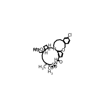 CO[C@]1(CO)CCC[C@H](C)[C@@H](C)S(=O)(=O)NC(=O)c2ccc3c(c2)N(CCCCc2cc(Cl)ccc2CO3)C[C@@H]2CC[C@H]21